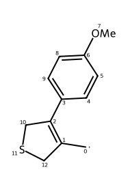 [CH2]C1=C(c2ccc(OC)cc2)CSC1